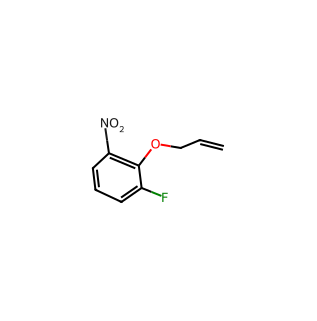 C=CCOc1c(F)cccc1[N+](=O)[O-]